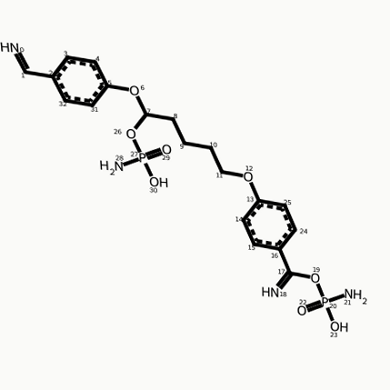 N=Cc1ccc(OC(CCCCOc2ccc(C(=N)OP(N)(=O)O)cc2)OP(N)(=O)O)cc1